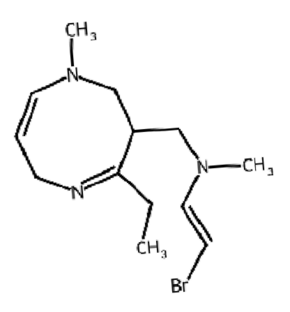 CC/C1=N/C/C=C\N(C)CC1CN(C)/C=C/Br